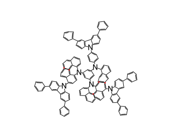 c1ccc(-c2ccc3c(c2)c2cc(-c4ccccc4)ccc2n3-c2ccc(N(c3cc(N(c4cccc5ccccc45)c4ccc(-n5c6ccc(-c7ccccc7)cc6c6cc(-c7ccccc7)ccc65)c5ccccc45)cc(N(c4cccc5ccccc45)c4ccc(-n5c6ccc(-c7ccccc7)cc6c6cc(-c7ccccc7)ccc65)c5ccccc45)c3)c3cccc4ccccc34)cc2)cc1